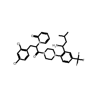 CC(C)CC(N)c1cc(C(F)(F)F)ccc1N1CCN(C(=O)C(Cc2ccc(Cl)cc2Cl)n2ccccc2=O)CC1